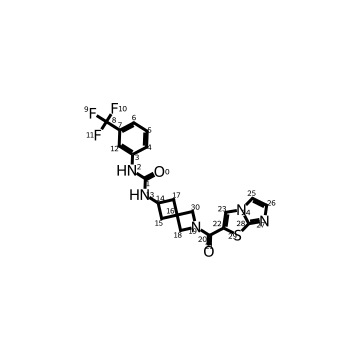 O=C(Nc1cccc(C(F)(F)F)c1)NC1CC2(C1)CN(C(=O)c1cn3ccnc3s1)C2